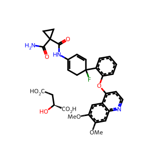 COc1cc2nccc(Oc3ccccc3C3(F)C=CC(NC(=O)C4(C(N)=O)CC4)=CC3)c2cc1OC.O=C(O)C[C@H](O)C(=O)O